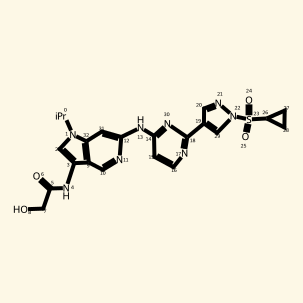 CC(C)n1cc(NC(=O)CO)c2cnc(Nc3ccnc(-c4cnn(S(=O)(=O)C5CC5)c4)n3)cc21